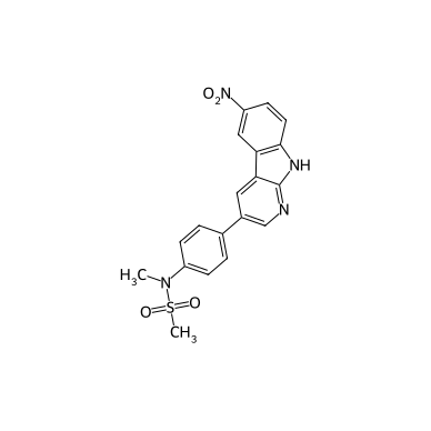 CN(c1ccc(-c2cnc3[nH]c4ccc([N+](=O)[O-])cc4c3c2)cc1)S(C)(=O)=O